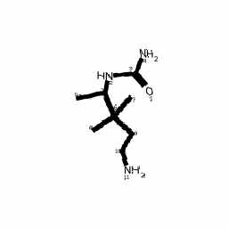 CC(NC(N)=O)C(C)(C)CCN